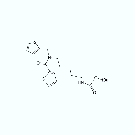 CC(C)(C)OC(=O)NCCCCCN(Cc1cccs1)C(=O)c1cccs1